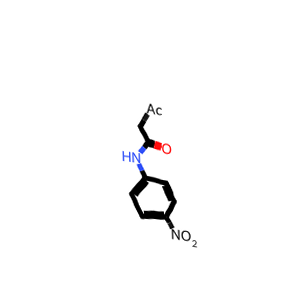 CC(=O)CC(=O)Nc1ccc([N+](=O)[O-])cc1